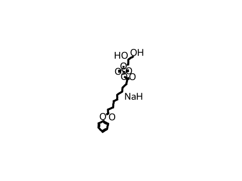 O=C(CCCCCCCCC(=O)OS(=O)(=O)OCC(O)CO)Oc1ccccc1.[NaH]